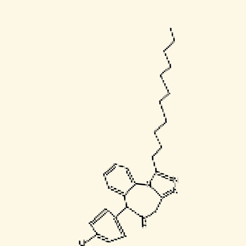 CCCCCCCCCCCc1nnc2n1-c1ccccc1C(c1ccc(Cl)cc1)NC2